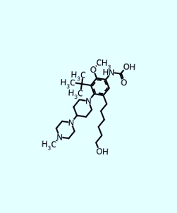 COc1c(NC(=O)O)cc(CCCCCCO)c(N2CCC(N3CCN(C)CC3)CC2)c1C(C)(C)C